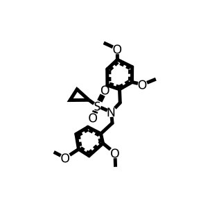 COc1ccc(CN(Cc2ccc(OC)cc2OC)S(=O)(=O)C2CC2)c(OC)c1